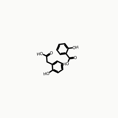 O=C(O)Cc1ccccc1O.O=C(O)c1ccccc1O